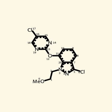 COCCn1nc(Cl)c2cccc(Oc3ncc(Cl)cn3)c21